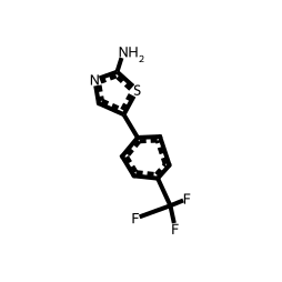 Nc1ncc(-c2ccc(C(F)(F)F)cc2)s1